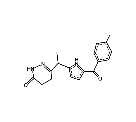 Cc1ccc(C(=O)c2ccc(C(C)C3=NNC(=O)CC3)[nH]2)cc1